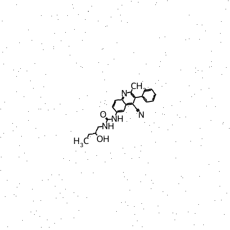 CCC(O)CNC(=O)Nc1ccc2nc(C)c(-c3ccccc3)c(C#N)c2c1